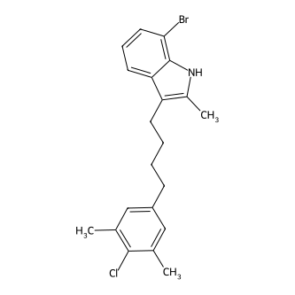 Cc1cc(CCCCc2c(C)[nH]c3c(Br)cccc23)cc(C)c1Cl